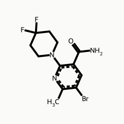 Cc1nc(N2CCC(F)(F)CC2)c(C(N)=O)cc1Br